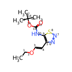 CCO/C=C/c1nnsc1NC(=O)OC(C)(C)C